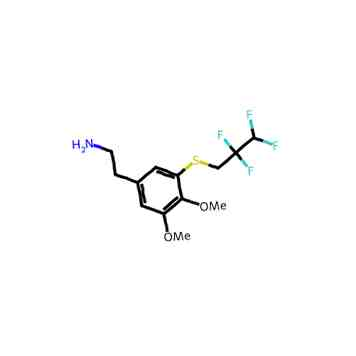 COc1cc(CCN)cc(SCC(F)(F)C(F)F)c1OC